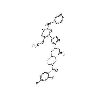 COc1cnc(Nc2cccnc2)nc1-c1cnn(C(CN)CC2CCN(C(=O)c3ccc(F)cc3F)CC2)c1